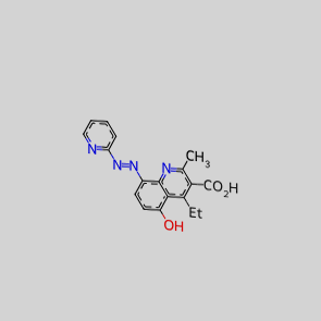 CCc1c(C(=O)O)c(C)nc2c(N=Nc3ccccn3)ccc(O)c12